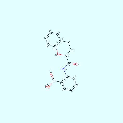 O=C(O)c1ccccc1NC(=O)C1CCc2ccccc2O1